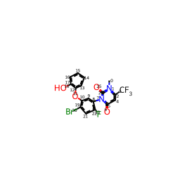 Cn1c(C(F)(F)F)cc(=O)n(-c2cc(Oc3ccccc3O)c(Br)cc2F)c1=O